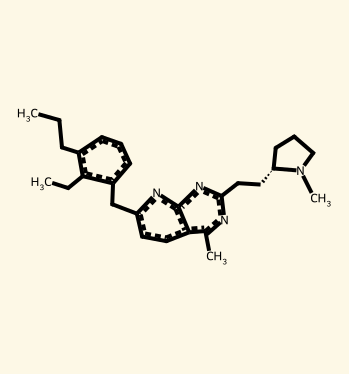 CCCc1cccc(Cc2ccc3c(C)nc(CC[C@@H]4CCCN4C)nc3n2)c1CC